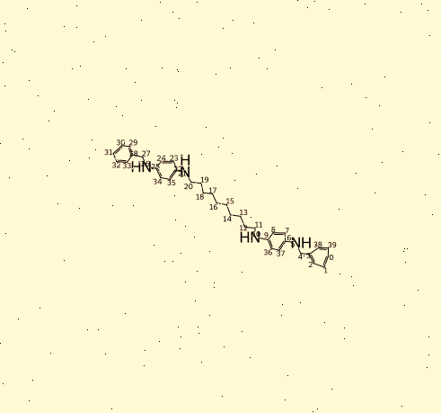 c1ccc(CNc2ccc(NCCCCCCCCCCNc3ccc(NCc4ccccc4)cc3)cc2)cc1